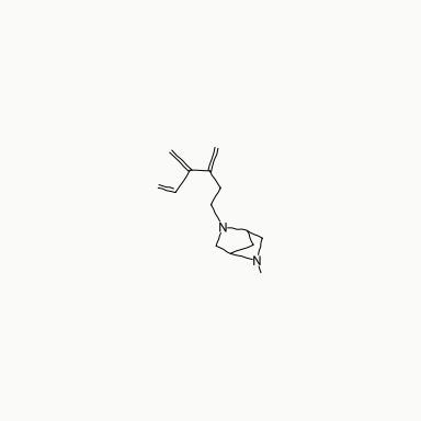 C=CC(=C)C(=C)CCN1CC2CC1CN2C